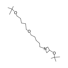 CC(C)(C)OCCCCCOCCCCCN1CC(OC(C)(C)C)C1